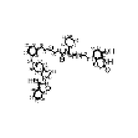 O=C1COc2c(CCNCCN(C(=O)CCOCCc3cccc(CN4CCC5(CC4)CN(C(=O)[C@H](O)c4ccccc4)CCO5)c3)C3CCCCC3)ccc(O)c2N1